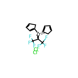 FC(F)(F)[C](=[Zr+2]([C]1=CC=CC1)[C]1=CC=CC1)C(F)(F)F.[Cl-].[Cl-]